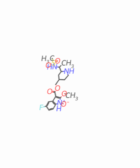 COC1=C(C(=O)OCC2CCNC(C(C)NS(C)(=O)=O)C2)c2cc(F)ccc2[NH+]1[O-]